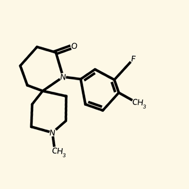 Cc1ccc(N2C(=O)CCCC23CCN(C)CC3)cc1F